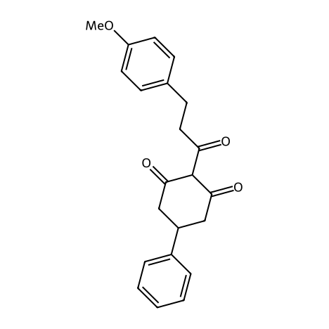 COc1ccc(CCC(=O)C2C(=O)CC(c3ccccc3)CC2=O)cc1